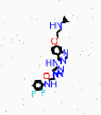 O=C(Cn1cc(Nc2ncnc3cc(OCCCNC4CC4)ccc23)nn1)Nc1cccc(F)c1F